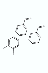 C=Cc1ccccc1.C=Cc1ccccc1.Cc1ccccc1C